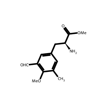 COC(=O)[C@@H](N)Cc1cc(C)c(OC)c(C=O)c1